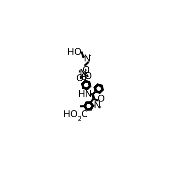 Cc1cc2c(cc1C(=O)O)N(C)C(=O)C2=C(Nc1ccc(S(=O)(=O)N(C)OCCN(C)CCO)cc1)c1ccccc1